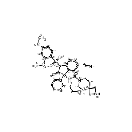 CCOc1ncccc1C1(NC(=O)N2CCC3(CC2)CNC3)C(=O)N(S(=O)(=O)c2ccc(OC)cc2OC)c2ccc(C#N)cc21